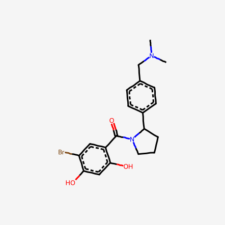 CN(C)Cc1ccc(C2CCCN2C(=O)c2cc(Br)c(O)cc2O)cc1